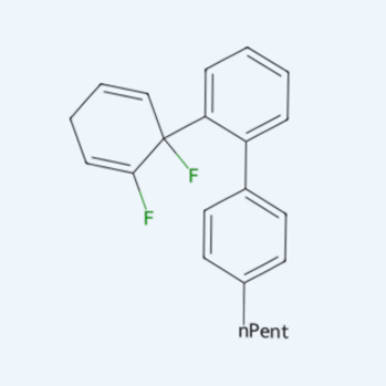 CCCCCc1ccc(-c2ccccc2C2(F)C=CCC=C2F)cc1